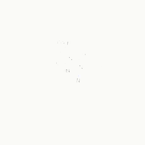 Cc1ccc(Cn2c(=O)n(C[C@H](C)C(=O)O)c(=O)[nH]/c2=N\c2ccc(C=C3CCCC3)cc2)cc1